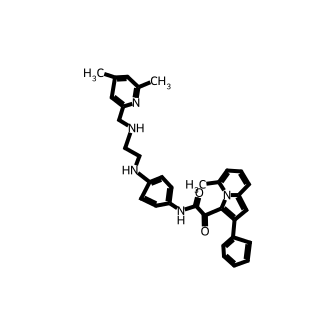 Cc1cc(C)nc(CNCCNc2ccc(NC(=O)C(=O)c3c(-c4ccccc4)cc4cccc(C)n34)cc2)c1